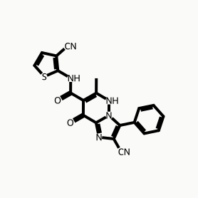 Cc1[nH]n2c(-c3ccccc3)c(C#N)nc2c(=O)c1C(=O)Nc1sccc1C#N